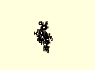 BC1[C@](B)(c2ccc(-c3cn(C)cn3)s2)NS(=O)(=O)N(C)[C@]1(B)C(=O)Nc1ccc(F)c(Cl)c1